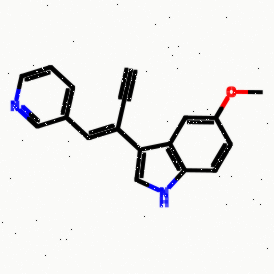 C#CC(=Cc1cccnc1)c1c[nH]c2ccc(OC)cc12